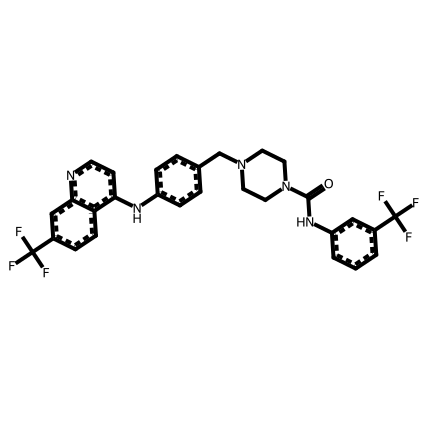 O=C(Nc1cccc(C(F)(F)F)c1)N1CCN(Cc2ccc(Nc3ccnc4cc(C(F)(F)F)ccc34)cc2)CC1